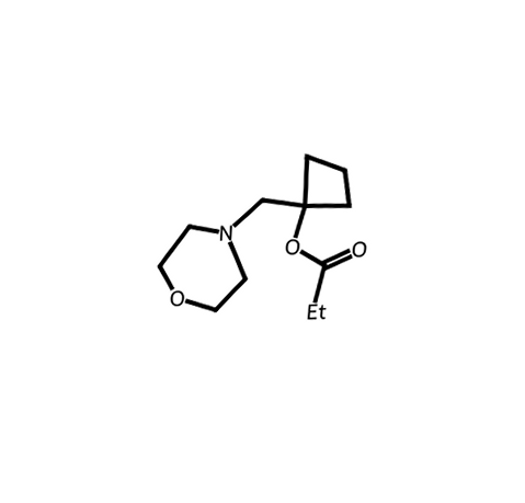 CCC(=O)OC1(CN2CCOCC2)CCC1